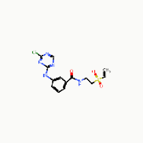 C=CS(=O)(=O)CCNC(=O)c1cccc(Nc2n[c]nc(Cl)n2)c1